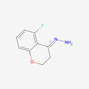 N/N=C1\CCOc2cccc(F)c21